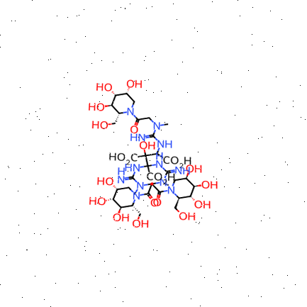 CN(CC(=O)N1C[C@@H](O)[C@@H](O)[C@H](O)[C@H]1CO)C(=N)NC(C(=O)O)C(O)(C(=O)O)C(NC(=N)N(C)CC(=O)N1C[C@@H](O)[C@@H](O)[C@H](O)[C@H]1CO)(NC(=N)N(C)CC(=O)N1C[C@@H](O)[C@@H](O)[C@H](O)[C@H]1CO)C(=O)O